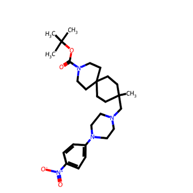 CC1(CN2CCN(c3ccc([N+](=O)[O-])cc3)CC2)CCC2(CCN(C(=O)OC(C)(C)C)CC2)CC1